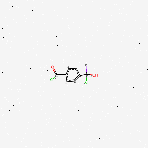 O=C(Cl)c1ccc(C(O)(Cl)I)cc1